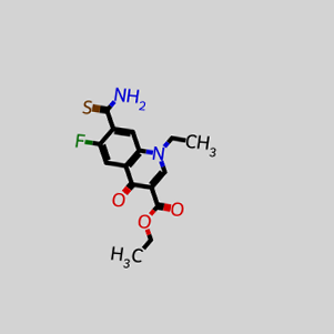 CCOC(=O)c1cn(CC)c2cc(C(N)=S)c(F)cc2c1=O